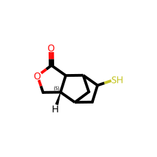 O=C1OC[C@H]2C3CC(S)C(C3)C12